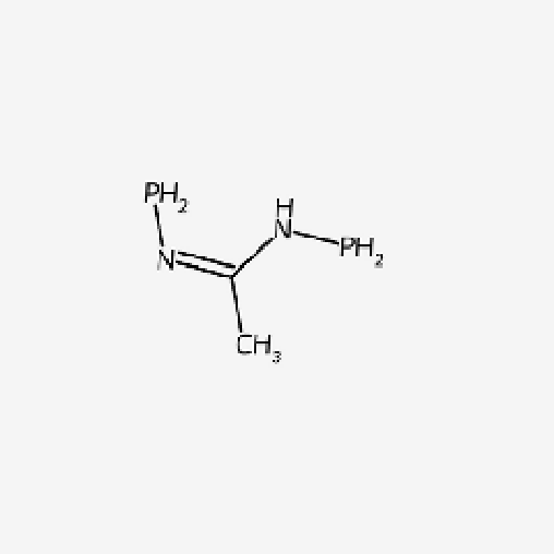 C/C(=N/P)NP